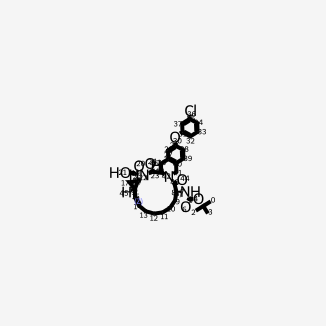 CC(C)(C)OC(=O)N[C@H]1CCCCC/C=C\[C@@H]2C[C@@]2(C(=O)O)NC(=O)[C@@H]2Cc3cc(Oc4cccc(Cl)c4)ccc3CN2C1=O